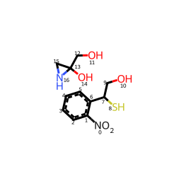 O=[N+]([O-])c1ccccc1C(S)CO.OCC1(O)CN1